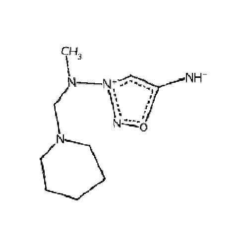 CN(CN1CCCCC1)[n+]1cc([NH-])on1